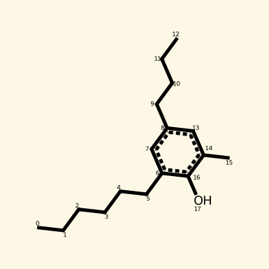 CCCCCCc1cc(CCCC)cc(C)c1O